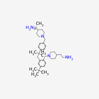 C[C@@H](N)C1CCN(Cc2ccc(C(C)(C)Cc3cc(C(C)(C)C)ccc3CN3CCC(CCN)CC3)cc2)CC1